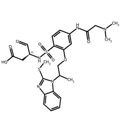 CSc1nc2ccccc2n1C(C)COc1cc(NC(=O)CN(C)C)ccc1S(=O)(=O)N[C@H](C=O)CC(=O)O